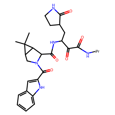 CC(C)NC(=O)C(=O)C(CC1CCNC1=O)NC(=O)C1C2C(CN1C(=O)c1cc3ccccc3[nH]1)C2(C)C